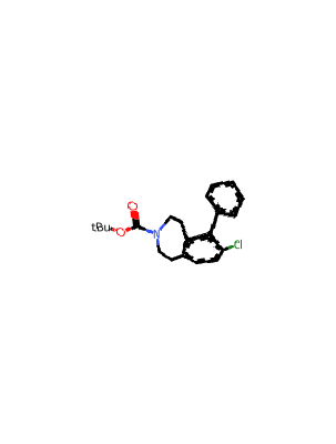 CC(C)(C)OC(=O)N1CCc2ccc(Cl)c(-c3ccccc3)c2CC1